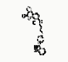 O=c1oc2c(Cl)c(OCCCCN3CCN(c4nsc5ccccc45)CC3)ccc2c2c1CCC2